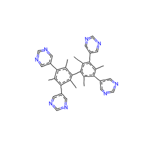 Cc1c(-c2cncnc2)c(C)c(-c2c(C)c(-c3cncnc3)c(C)c(-c3cncnc3)c2C)c(C)c1-c1cncnc1